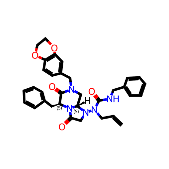 C=CCN(C(=O)NCc1ccccc1)N1CC(=O)N2[C@@H](Cc3ccccc3)C(=O)N(Cc3ccc4c(c3)OCCO4)C[C@@H]21